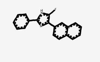 Fc1[nH]c(-c2ccccc2)nc1-c1ccc2ccccc2c1